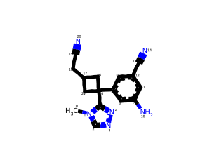 Cn1cnnc1C1(c2cc(N)cc(C#N)c2)CC(CC#N)C1